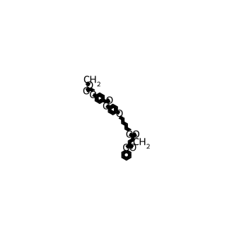 C=COC(=O)COc1ccc(C(=O)Oc2ccc(OCCCCCCOC(=O)C(=C)CC(=O)OC3CCCCC3)cc2)cc1